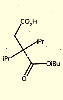 CC(C)COC(=O)C(CC(=O)O)(C(C)C)C(C)C